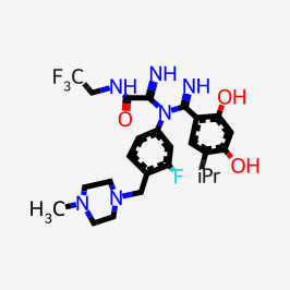 CC(C)c1cc(C(=N)N(C(=N)C(=O)NCC(F)(F)F)c2ccc(CN3CCN(C)CC3)c(F)c2)c(O)cc1O